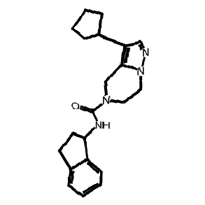 O=C(NC1CCc2ccccc21)N1CCn2ncc(C3CCCC3)c2C1